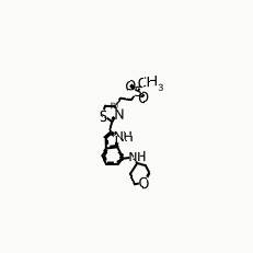 CS(=O)(=O)CC[C@@H]1CSC(c2cc3cccc(NC4CCOCC4)c3[nH]2)=N1